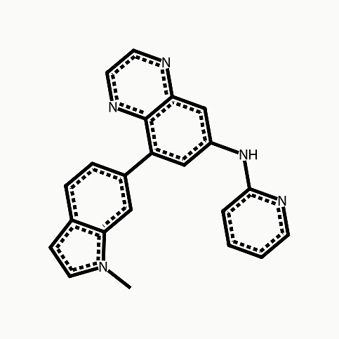 Cn1ccc2ccc(-c3cc(Nc4ccccn4)cc4nccnc34)cc21